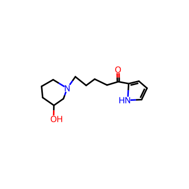 O=C(CCCCN1CCCC(O)C1)c1ccc[nH]1